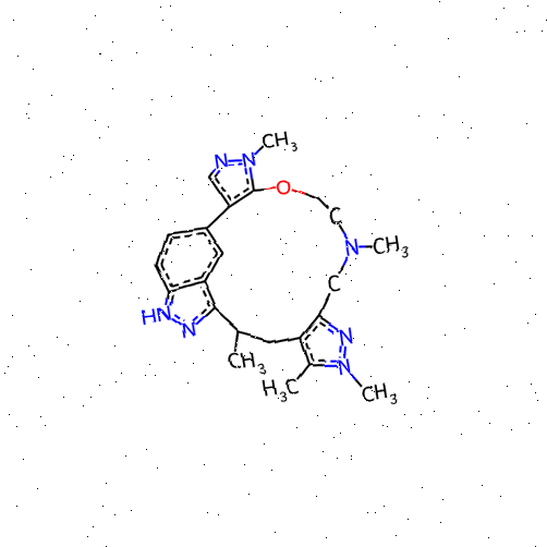 Cc1c2c(nn1C)CN(C)CCOc1c(cnn1C)-c1ccc3[nH]nc(c3c1)C(C)C2